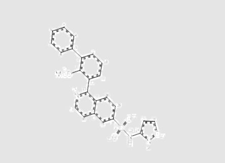 COc1c(-c2ccccc2)cccc1-c1nccc2cc(S(=O)(=O)Nc3ccon3)ccc12